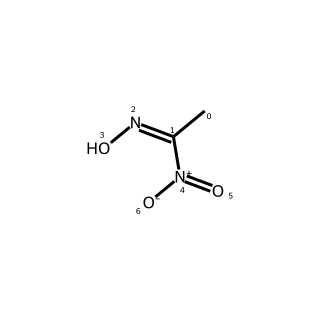 CC(=NO)[N+](=O)[O-]